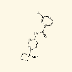 O=CC1(c2ccc(NC(=O)c3cccc(Cl)c3)nc2)CCC1